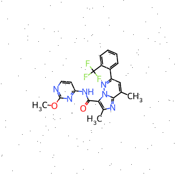 COc1nccc(NC(=O)c2c(C)nc3c(C)cc(-c4ccccc4C(F)(F)F)nn23)n1